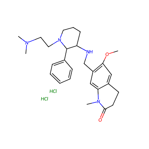 COc1cc2c(cc1CNC1CCCN(CCN(C)C)C1c1ccccc1)N(C)C(=O)CC2.Cl.Cl